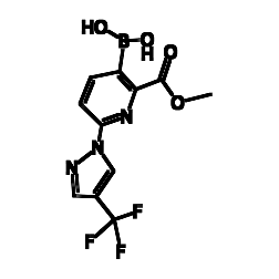 COC(=O)c1nc(-n2cc(C(F)(F)F)cn2)ccc1B(O)O